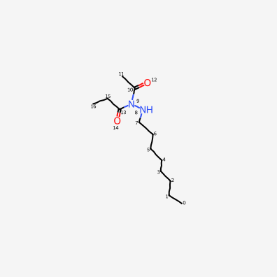 CCCCCCCCNN(C(C)=O)C(=O)CC